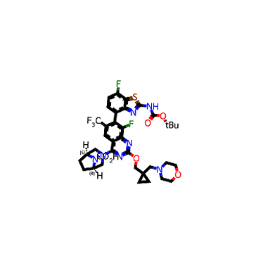 CC(C)(C)OC(=O)Nc1nc2c(-c3c(C(F)(F)F)cc4c(N5C[C@H]6CC[C@@H](C5)N6C(=O)O)nc(OCC5(CN6CCOCC6)CC5)nc4c3F)ccc(F)c2s1